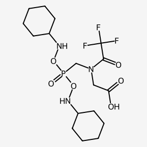 O=C(O)CN(CP(=O)(ONC1CCCCC1)ONC1CCCCC1)C(=O)C(F)(F)F